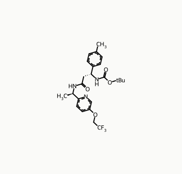 Cc1ccc([C@@H](CC(=O)N[C@H](C)c2ccc(OCC(F)(F)F)cn2)NC(=O)OC(C)(C)C)cc1